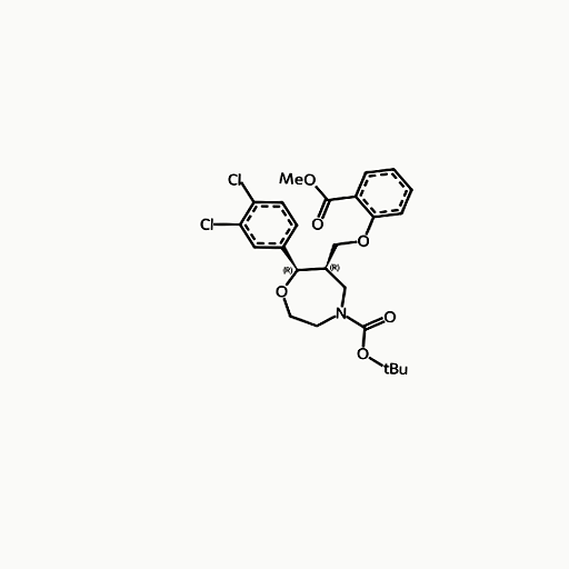 COC(=O)c1ccccc1OC[C@H]1CN(C(=O)OC(C)(C)C)CCO[C@H]1c1ccc(Cl)c(Cl)c1